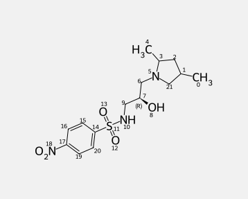 CC1CC(C)N(C[C@@H](O)CNS(=O)(=O)c2ccc([N+](=O)[O-])cc2)C1